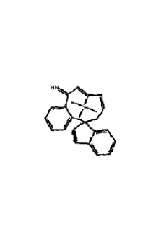 CS(C)(C)C1=C\C(=N)c2ccccc2C2(C/C=C\1)c1ccccc1-c1ccccc12